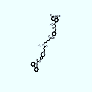 CN(CCCCC(=O)Nc1ccc(CNC[C@H](O)c2ccc(O)c3[nH]c(=O)ccc23)cc1)C(=O)CCN1CCC2(CC1)CC(OC(=O)Nc1ccccc1-c1ccccc1)C2